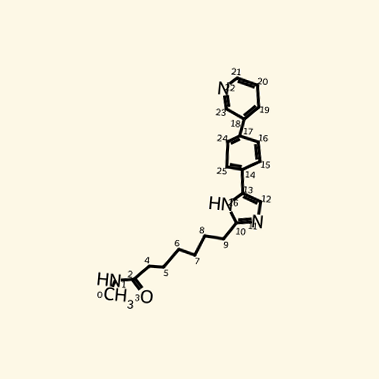 CNC(=O)CCCCCCc1ncc(-c2ccc(-c3cccnc3)cc2)[nH]1